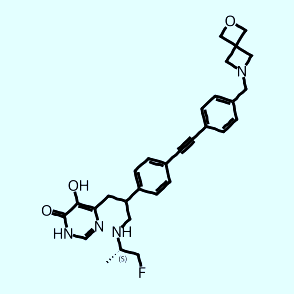 C[C@@H](CF)NCC(Cc1nc[nH]c(=O)c1O)c1ccc(C#Cc2ccc(CN3CC4(COC4)C3)cc2)cc1